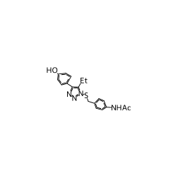 CCc1c(-c2ccc(O)cc2)nnn1SCc1ccc(NC(C)=O)cc1